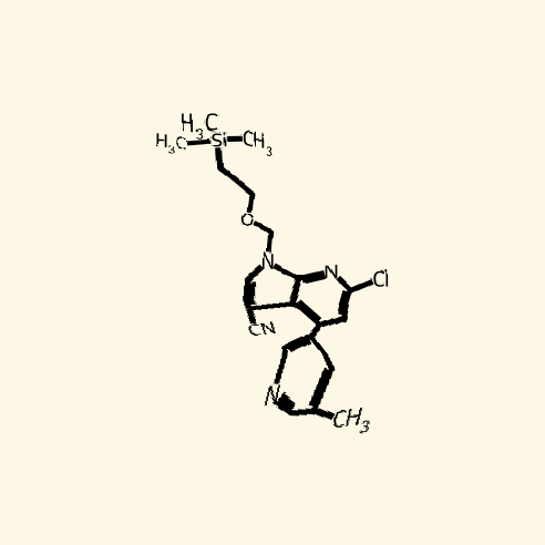 Cc1cncc(-c2cc(Cl)nc3c2c(C#N)cn3COCC[Si](C)(C)C)c1